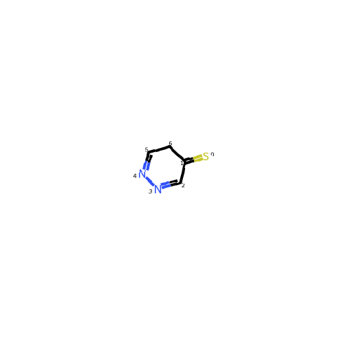 S=C1C=NN=CC1